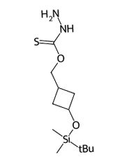 CC(C)(C)[Si](C)(C)OC1CC(COC(=S)NN)C1